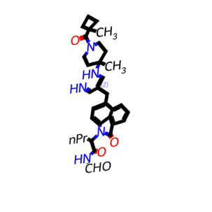 CCCC(C(=O)NC=O)N1C(=O)c2cccc3c(C/C(C=N)=C/NC4(C)CCN(C(=O)C5(C)CCC5)CC4)ccc1c23